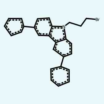 BrCCCn1c2ccc(-c3ccccc3)cc2c2cc(-c3ccccc3)ccc21